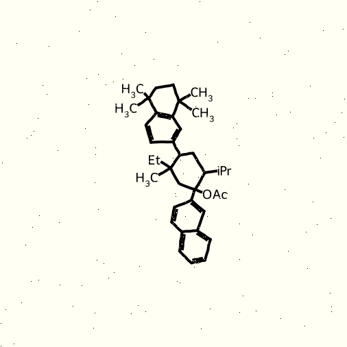 CCC1(C)CC(OC(C)=O)(c2ccc3ccccc3c2)C(C(C)C)CC1c1ccc2c(c1)C(C)(C)CCC2(C)C